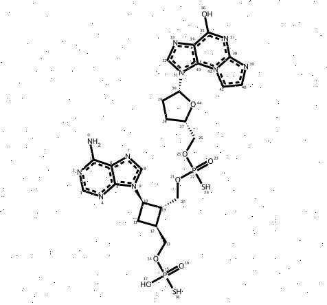 Nc1ncnc2c1ncn2[C@@H]1C[C@H](COP(=O)(O)S)[C@H]1COP(=O)(S)OC[C@@H]1CC[C@H](n2cnc3c(O)nc4nccn4c32)O1